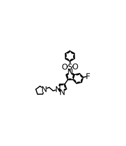 O=S(=O)(c1ccccc1)n1cc(-c2cnn(CCN3CCCC3)c2)c2ccc(F)cc21